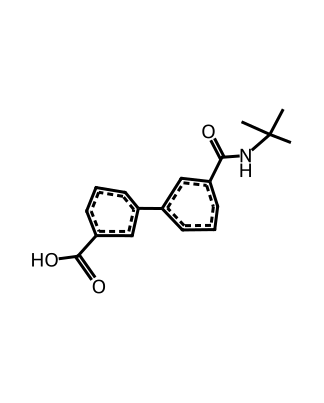 CC(C)(C)NC(=O)c1cccc(-c2cccc(C(=O)O)c2)c1